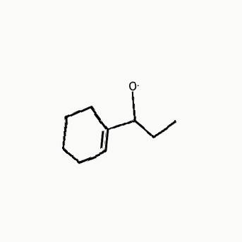 CCC([O])C1=CCCCC1